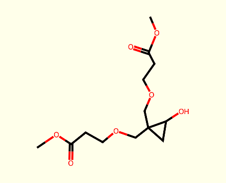 COC(=O)CCOCC1(COCCC(=O)OC)CC1O